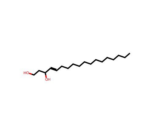 CCCCCCCCCCCCCC=CC(O)CCO